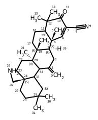 C=C1C[C@@H]2[C@@]3(C)C=C(C#N)C(=O)C(C)(C)C3CC[C@@]2(C)[C@]2(C)CC[C@@]3(CN)CCC(C)(C)CC3C12